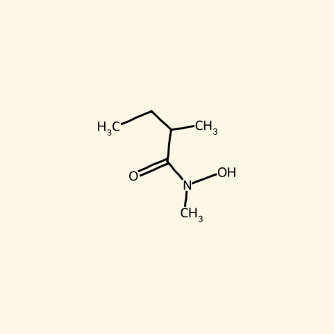 CCC(C)C(=O)N(C)O